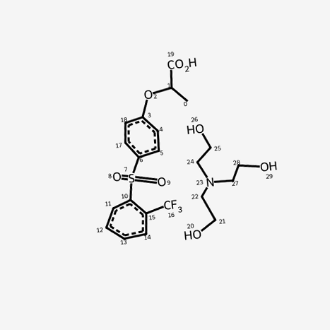 CC(Oc1ccc(S(=O)(=O)c2ccccc2C(F)(F)F)cc1)C(=O)O.OCCN(CCO)CCO